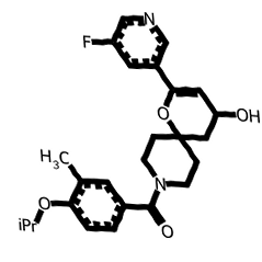 Cc1cc(C(=O)N2CCC3(CC2)CC(O)C=C(c2cncc(F)c2)O3)ccc1OC(C)C